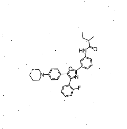 CCC(C)C(=O)Nc1cccc(-c2nc(-c3ccccc3F)c(-c3ccc(N4CCCCC4)cc3)o2)c1